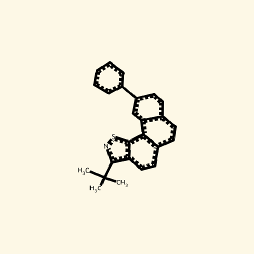 CC(C)(C)c1nsc2c1ccc1ccc3ccc(-c4ccccc4)cc3c12